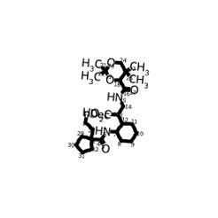 CCCCCCCCCCCCC1(C(=O)NC2CCCCC2C(CNC(=O)C2OC(C)(C)OCC2(C)C)C(=O)O)CCCC1